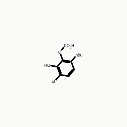 CCCCc1ccc(CC)c(O)c1OC(=O)O